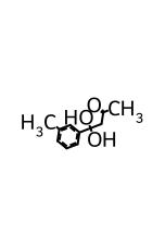 CC(=O)CC(O)(O)c1cccc(C)c1